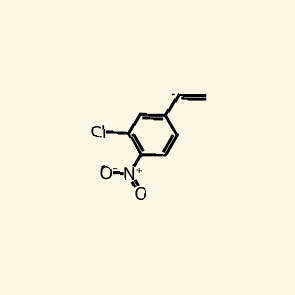 C=[C]c1ccc([N+](=O)[O-])c(Cl)c1